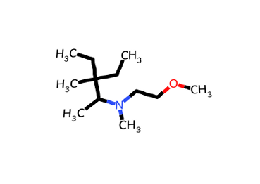 CCC(C)(CC)C(C)N(C)CCOC